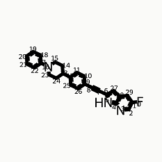 Fc1cnc2[nH]c(C#Cc3ccc(C4CCN(c5ccccc5)CC4)cc3)cc2c1